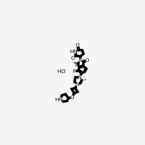 C[C@@H]1CN(C2CC(OC3CCNCC3)C2)CCN1c1ccc2c(c1F)[C@@H](C)N(C1CCC(=O)NC1=O)C2=O.Cl